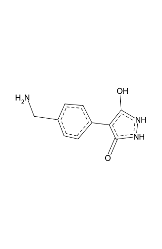 NCc1ccc(-c2c(O)[nH][nH]c2=O)cc1